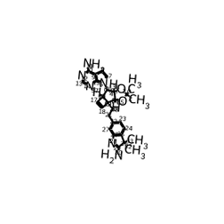 CC1(C)O[C@H]2[C@H](n3ccc4c(N)ncnc43)[C@H]3C#C[C@@]3(CCc3ccc4c(c3)N=C(N)C4(C)C)[C@H]2O1